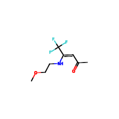 COCCN/C(=C\C(C)=O)C(F)(F)F